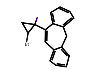 CCC1CC1(I)C1=Cc2ccccc2Cc2ccccc21